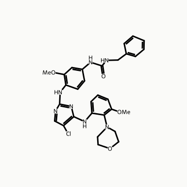 COc1cc(NC(=O)NCc2ccccc2)ccc1Nc1ncc(Cl)c(Nc2cccc(OC)c2N2CCOCC2)n1